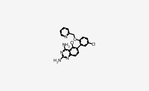 Nc1nc(N)c2c(Cl)c(-c3cc(Cl)ccc3OCc3ccccn3)ccc2n1